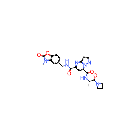 C[C@H](NC(=O)c1cc(C(=O)NCc2ccc3oc(=O)n(C)c3c2)nc2ccnn12)C(=O)N1CCC1